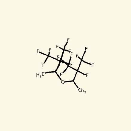 CC(OC(C)C(F)(C(F)(F)F)C(F)(F)F)C(F)(C(F)(F)F)C(F)(F)F